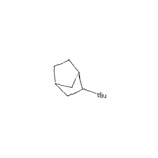 CC(C)(C)[C]1CC2CCC1C2